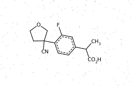 CC(C(=O)O)c1ccc(C2(C#N)CCOC2)c(F)c1